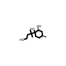 C[C@H]1CCC(O)(C(C)(C)CCO)[C@@H](O)C1